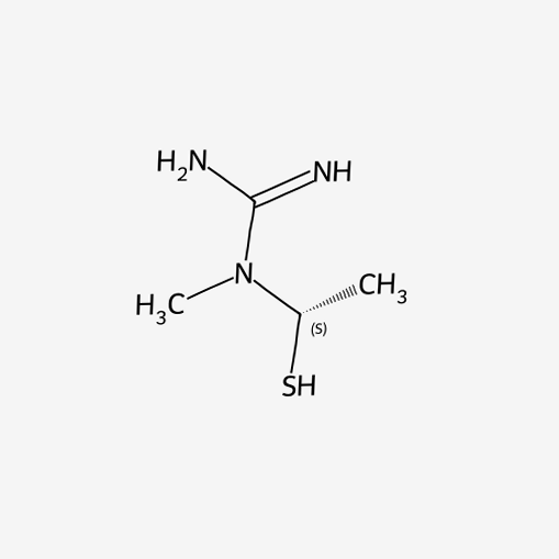 C[C@H](S)N(C)C(=N)N